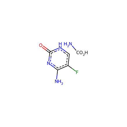 NC(=O)O.Nc1nc(=O)[nH]cc1F